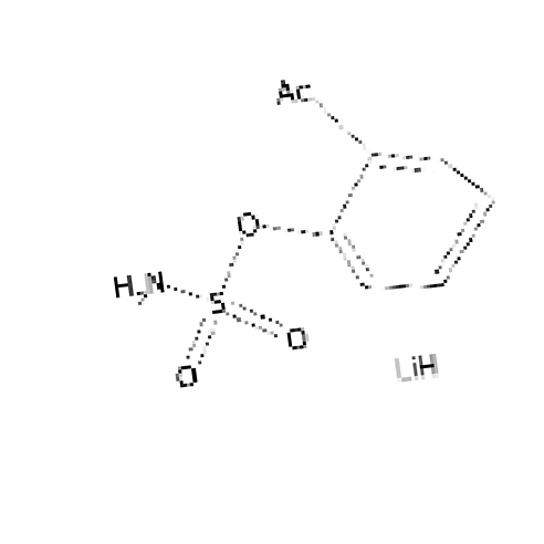 CC(=O)c1ccccc1OS(N)(=O)=O.[LiH]